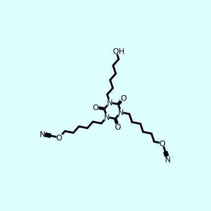 N#COCCCCCCn1c(=O)n(CCCCCCO)c(=O)n(CCCCCCOC#N)c1=O